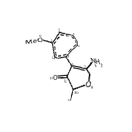 COc1cccc(C2=C(N)OC(C)C2=O)c1